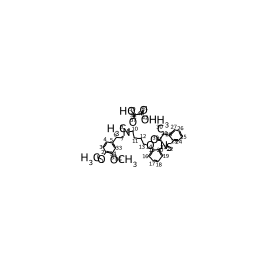 COc1ccc(CCN(C)CCCCOc2ccccc2N2Sc3ccccc3C(C)C2=O)cc1OC.O=C(O)C(=O)O